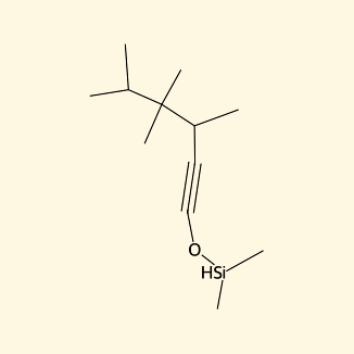 CC(C)C(C)(C)C(C)C#CO[SiH](C)C